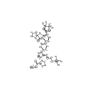 CC(C)(C)OC(=O)N1CCC[C@H]1c1ncc(-c2ccc(-c3ccc(B4OC(C)(C)C(C)(C)O4)c4c3C(=O)C3(CCCC3)C4)cc2)n1COCC[Si](C)(C)C